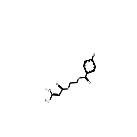 C/C(N)=C/C(=O)OCCOC(=O)c1ccc(Cl)cc1